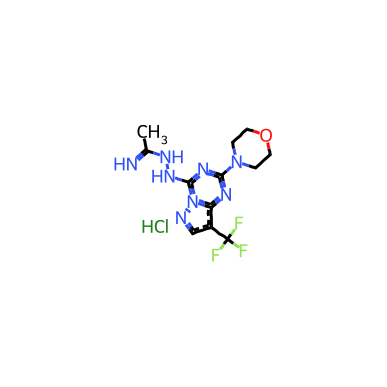 CC(=N)NNc1nc(N2CCOCC2)nc2c(C(F)(F)F)cnn12.Cl